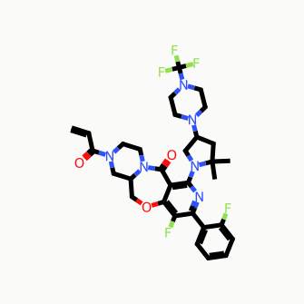 C=CC(=O)N1CCN2C(=O)c3c(N4CC(N5CCN(C(F)(F)F)CC5)CC4(C)C)nc(-c4ccccc4F)c(F)c3OCC2C1